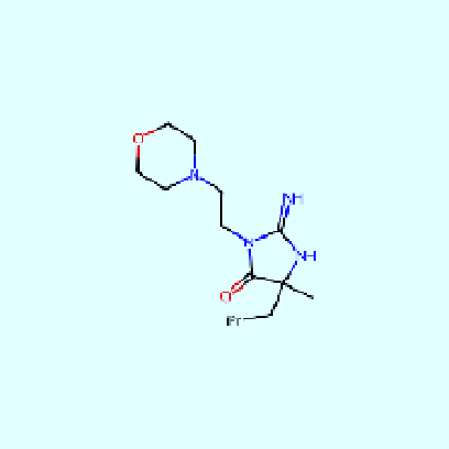 CC(C)CC1(C)NC(=N)N(CCN2CCOCC2)C1=O